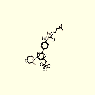 CCS(=O)(=O)Cc1cc(N2CCOC[C@@H]2C)nc(-c2ccc(NC(=O)NCCN(C)C)cc2)n1